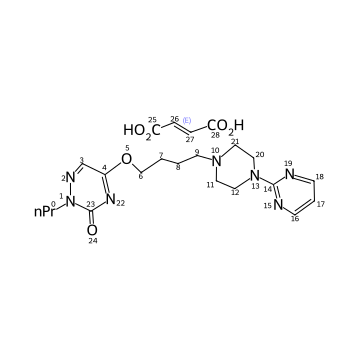 CCCn1ncc(OCCCCN2CCN(c3ncccn3)CC2)nc1=O.O=C(O)/C=C/C(=O)O